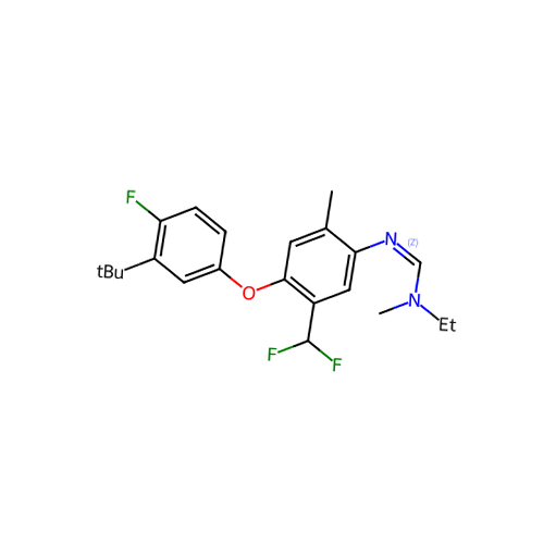 CCN(C)/C=N\c1cc(C(F)F)c(Oc2ccc(F)c(C(C)(C)C)c2)cc1C